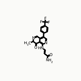 CC1N=Cc2c(-c3ccc(C(F)(F)F)cc3)cnc(NC=CC(N)=O)c2C1=O